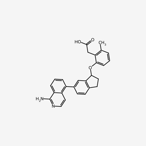 Cc1cccc(OC2CCc3ccc(-c4cccc5c(N)nccc45)cc32)c1CC(=O)O